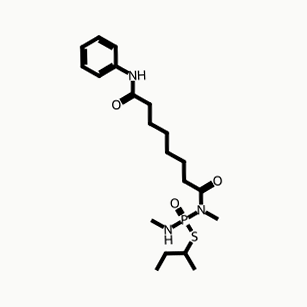 CCC(C)SP(=O)(NC)N(C)C(=O)CCCCCCC(=O)Nc1ccccc1